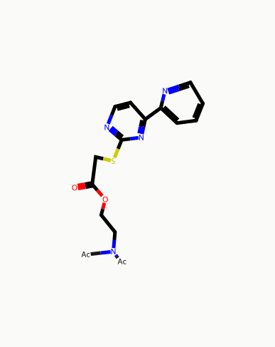 CC(=O)N(CCOC(=O)CSc1nccc(-c2ccccn2)n1)C(C)=O